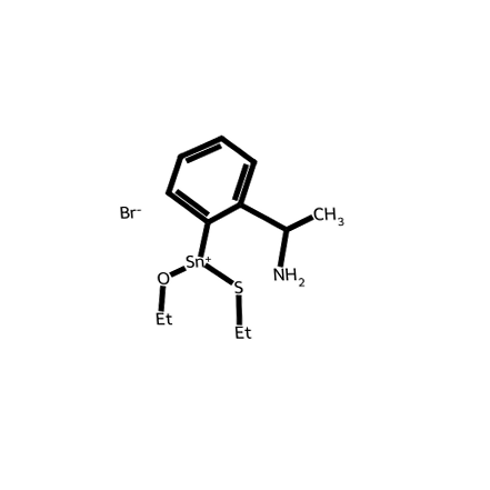 CC[O][Sn+]([S]CC)[c]1ccccc1C(C)N.[Br-]